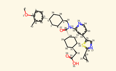 COc1ccc([C@H]2CC[C@H](CN(c3cc(-c4cnc(C5CC5)s4)ccn3)C(=O)[C@H]3CC[C@H](CC(=O)O)CC3)CC2)cc1C